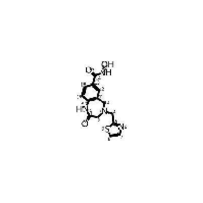 O=C1CN(Cc2nccs2)Cc2cc(C(=O)NO)ccc2N1